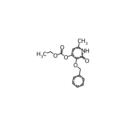 CCOC(=O)Oc1cc(C)[nH]c(=O)c1OCc1ccccc1